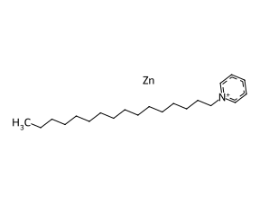 CCCCCCCCCCCCCCCC[n+]1ccccc1.[Zn]